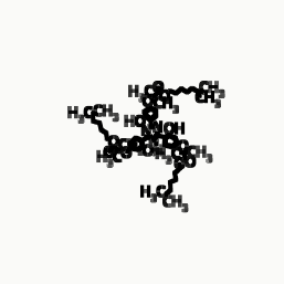 CC(C)CCCCCOC(=O)C(C)(C)Oc1ccc(-c2nc(-c3ccc(OC(C)(C)C(=O)OCCCCCC(C)C)cc3O)nc(-c3ccc(OC(C)(C)C(=O)OCCCCCC(C)C)cc3O)n2)c(O)c1